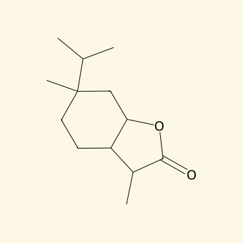 CC1C(=O)OC2CC(C)(C(C)C)CCC21